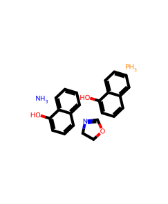 C1=NCCO1.N.Oc1cccc2ccccc12.Oc1cccc2ccccc12.P